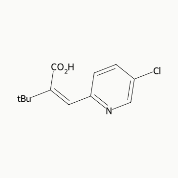 CC(C)(C)C(=Cc1ccc(Cl)cn1)C(=O)O